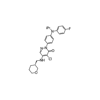 CC(C)N(c1ccc(F)cc1)c1ccc(-n2ncc(NC[C@@H]3CCCOC3)c(Cl)c2=O)cc1